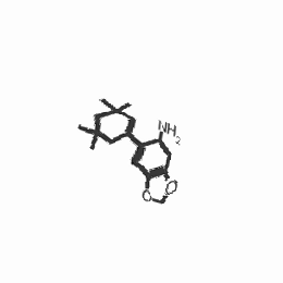 CC1(C)C=C(c2cc3c(cc2N)OCO3)CC(C)(C)C1